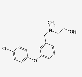 CN(CCO)Cc1cccc(Oc2ccc(Cl)cc2)c1